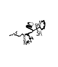 CN(C)CCn1nnnc1C(C=O)C(S)(S)c1ccccn1